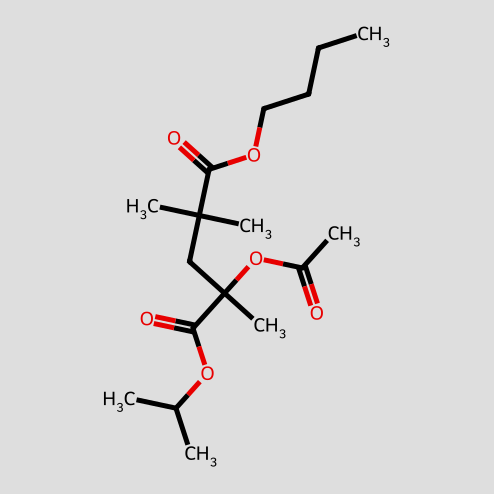 CCCCOC(=O)C(C)(C)CC(C)(OC(C)=O)C(=O)OC(C)C